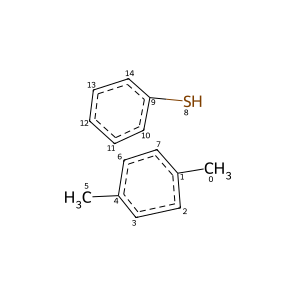 Cc1ccc(C)cc1.Sc1ccccc1